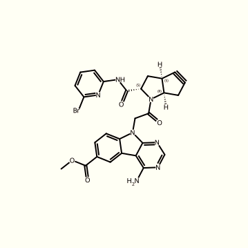 COC(=O)c1ccc2c(c1)c1c(N)ncnc1n2CC(=O)N1[C@@H]2CC#C[C@@H]2C[C@H]1C(=O)Nc1cccc(Br)n1